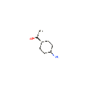 CC(C)(C)C(=O)[C@H]1CC[C@@H](N)CC1